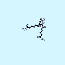 CC(=O)CCCCNC1=NS(=O)(=O)N=C1NCCCCC(C)=O